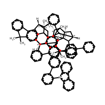 C[C@@H]1C[C@H]2C[C@H]3CC1CC21c2ccc(N(c4ccc5c(c4)C(C)(C)c4ccccc4-5)c4ccccc4-c4ccccc4C4C5C[C@@H]6CC(C[C@H]4C)C54c5ccc(N(c7ccc(-c8ccccc8)cc7)c7ccc(-c8ccccc8-n8c9ccccc9c9ccccc98)cc7)cc5C(C)(C)c5ccccc5[C@]64C)cc2C(C)(C)c2ccccc2C31